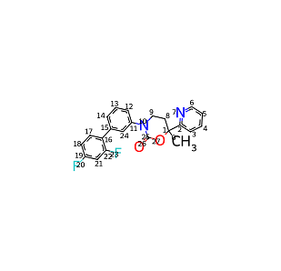 CC1(c2ccccn2)CCN(c2cccc(-c3ccc(F)cc3F)c2)C(=O)O1